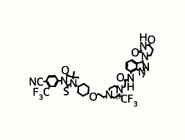 Cn1nc(N2CCC(=O)NC2=O)c2cccc(NC(=O)CN3CCN(CCO[C@H]4CC[C@H](N5C(=S)N(c6ccc(C#N)c(C(F)(F)F)c6)C(=O)C5(C)C)CC4)C[C@H]3C(F)(F)F)c21